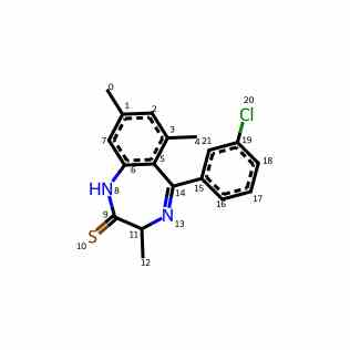 Cc1cc(C)c2c(c1)NC(=S)C(C)N=C2c1cccc(Cl)c1